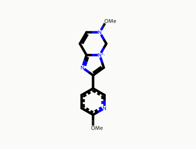 COc1ccc(C2=C[N+]3CN(OC)C=CC3=N2)cn1